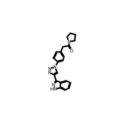 O=C(Cc1ccc(-n2cc(-c3n[nH]c4ccccc34)nn2)cc1)N1CCCC1